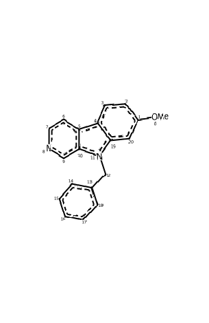 COc1ccc2c3ccncc3n(Cc3ccccc3)c2c1